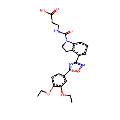 CCOc1ccc(-c2nc(-c3cccc4c3CCN4C(=O)NCCC(=O)O)no2)cc1OCC